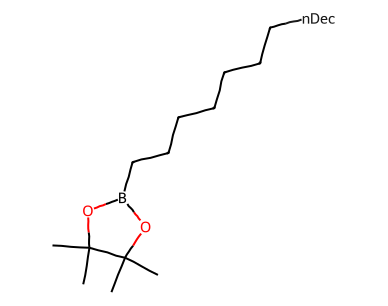 CCCCCCCCCCCCCCCCCB1OC(C)(C)C(C)(C)O1